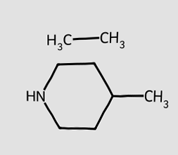 CC.CC1CCNCC1